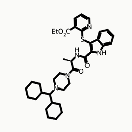 CCOC(=O)c1cccnc1Sc1c(C(=O)N[C@H](C)C(=O)N2CCN(C(C3CCCCC3)C3CCCCC3)CC2)[nH]c2ccccc12